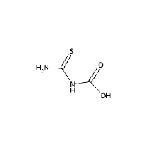 NC(=S)NC(=O)O